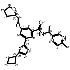 Cc1cnc(C(C)NC(=O)c2cc(OC[C@H]3CCCO3)cc(-c3ncc(C4CCC4)s3)c2)cn1